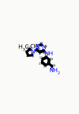 CC1(C)CCCN1c1cc(Nc2cccc(CN)c2)ncn1